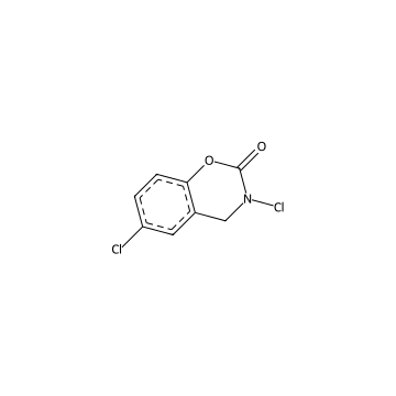 O=C1Oc2ccc(Cl)cc2CN1Cl